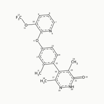 Cc1cc(Oc2ncccc2OC(F)(F)F)ccc1-c1c(C)n[nH]c(=O)c1C